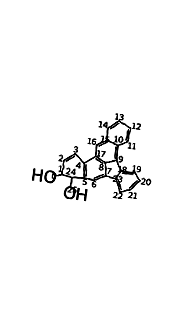 OC1C=Cc2c(cc3c4c(c5ccccc5cc24)-c2ccccc2-3)C1O